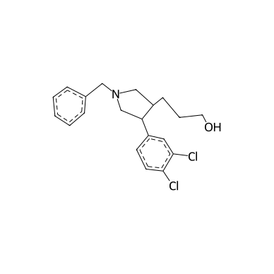 OCCCC1CN(Cc2ccccc2)CC1c1ccc(Cl)c(Cl)c1